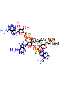 CO[C@H]1[C@@H](O[P@](O)(=S)OC[C@H]2O[C@@H](n3cnc4c(N)ncnc43)[C@H](O[P@](O)(=S)OC[C@H]3O[C@@H](n4cnc5c(N)ncnc54)[C@H](O)[C@@H]3O)[C@@H]2OC)[C@H](n2cnc3c(N)ncnc32)O[C@@H]1CCP(=O)(OC)OC